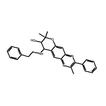 Cc1nc2cc3c(cc2nc1-c1ccccc1)OC(C)(C)C(O)C3NCCc1ccccc1